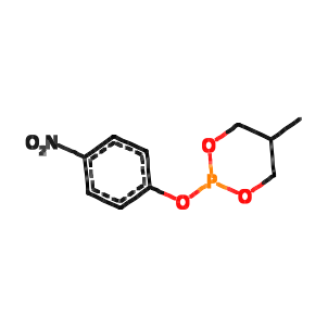 CC1COP(Oc2ccc([N+](=O)[O-])cc2)OC1